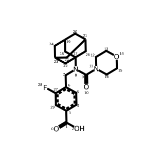 O=C(O)c1ccc(CN(C(=O)N2CCOCC2)C23CC4CC(CC(C4)C2)C3)c(F)c1